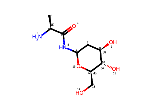 C[C@H](N)C(=O)N[C]1C[C@@H](O)[C@H](O)[C@@H](CO)O1